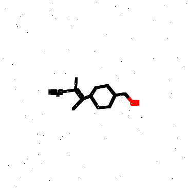 C/C(C(=O)O)=C(/C)C1CCC(CO)CC1